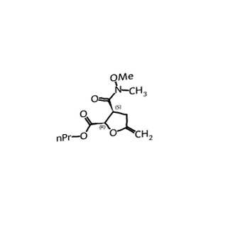 C=C1C[C@H](C(=O)N(C)OC)[C@H](C(=O)OCCC)O1